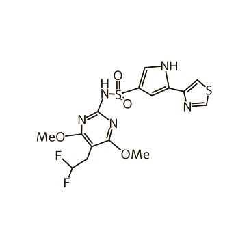 COc1nc(NS(=O)(=O)c2c[nH]c(-c3cscn3)c2)nc(OC)c1CC(F)F